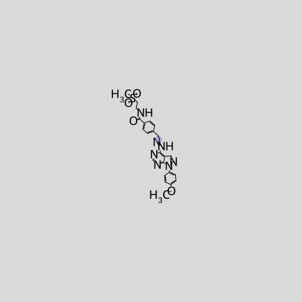 COc1ccc(-n2ncc3c(N/N=C/c4ccc(C(=O)NCCS(C)(=O)=O)cc4)ncnc32)cc1